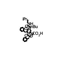 CCCC[C@@H](C(=O)NCCC(C)C)N1CC2N(C(=O)O)O[C@H](Cc3ccccc3)C(=O)N2[C@@H](Cc2ccccc2)C1=O